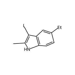 CCc1ccc2[nH]c(C)c(I)c2c1